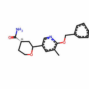 Cc1cc(C2C[C@@H](C(N)=O)CCO2)cnc1OCc1ccccc1